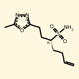 C=CCC[C@H](CCc1nnc(C)o1)S(N)(=O)=O